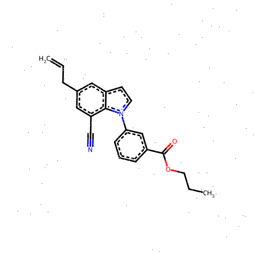 C=CCc1cc(C#N)c2c(ccn2-c2cccc(C(=O)OCCC)c2)c1